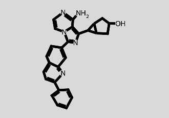 Nc1nccn2c(-c3ccc4ccc(-c5ccccc5)nc4c3)nc(C3C4CC(O)CC43)c12